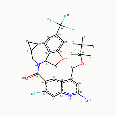 CC(C)(C)[Si](C)(C)OCc1cc(N)nc2cc(F)c(C(=O)N(CC3CC3)C3COc4cc(C(F)(F)F)ccc43)cc12